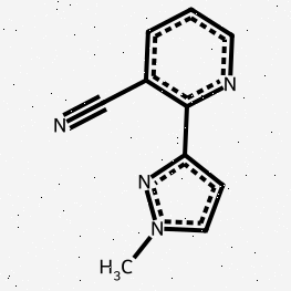 Cn1ccc(-c2ncccc2C#N)n1